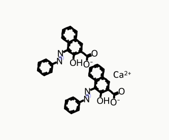 O=C([O-])c1cc2ccccc2c(/N=N/c2ccccc2)c1O.O=C([O-])c1cc2ccccc2c(/N=N/c2ccccc2)c1O.[Ca+2]